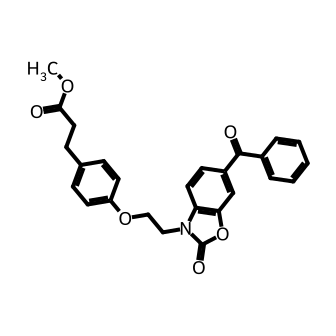 COC(=O)CCc1ccc(OCCn2c(=O)oc3cc(C(=O)c4ccccc4)ccc32)cc1